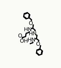 CCNC(CNCC(COCc1ccccc1)NCCCC(=O)O)COCc1ccccc1